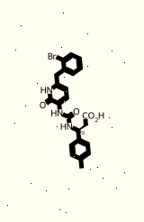 Cc1ccc([C@H](CC(=O)O)NC(=O)Nc2ccc(Cc3ccccc3Br)[nH]c2=O)cc1